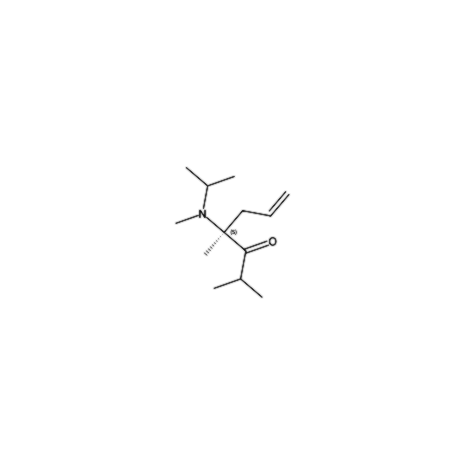 C=CC[C@@](C)(C(=O)C(C)C)N(C)C(C)C